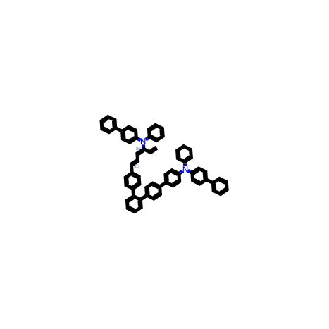 C=C/C(=C\C=C\c1ccc(-c2ccccc2-c2ccc(-c3ccc(N(C4=CCCC=C4)c4ccc(-c5ccccc5)cc4)cc3)cc2)cc1)N(c1ccccc1)c1ccc(-c2ccccc2)cc1